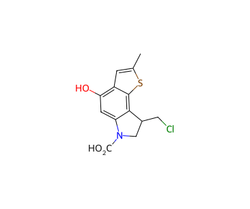 Cc1cc2c(O)cc3c(c2s1)C(CCl)CN3C(=O)O